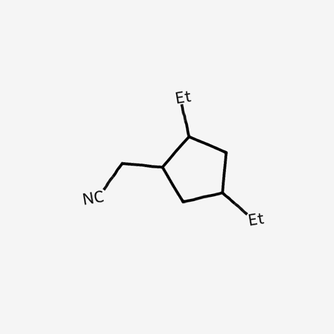 CCC1CC(CC)C(CC#N)C1